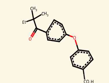 CCC(C)(C)C(=O)c1ccc(Oc2ccc(C(=O)O)cc2)cc1